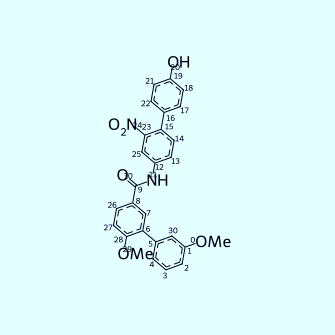 COc1cccc(-c2cc(C(=O)Nc3ccc(-c4ccc(O)cc4)c([N+](=O)[O-])c3)ccc2OC)c1